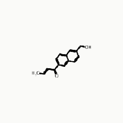 CC=CC(=O)c1ccc2cc(CO)ccc2c1